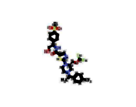 CCS(=O)(=O)c1ccc([C@H](CO)NC(=O)c2cnc(N3CCN(C(C)c4ccc(C(F)(F)F)cc4)C[C@H]3COC(F)F)s2)cc1